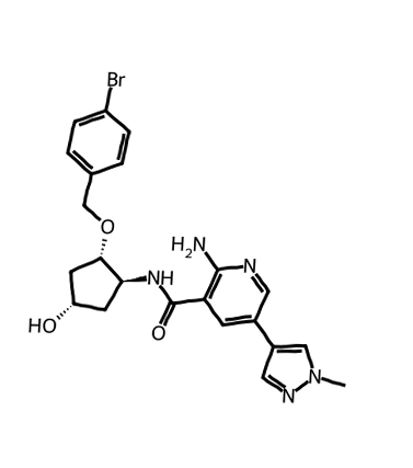 Cn1cc(-c2cnc(N)c(C(=O)N[C@H]3C[C@H](O)C[C@@H]3OCc3ccc(Br)cc3)c2)cn1